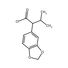 CC(C)C(C(=O)Cl)c1ccc2c(c1)OCO2